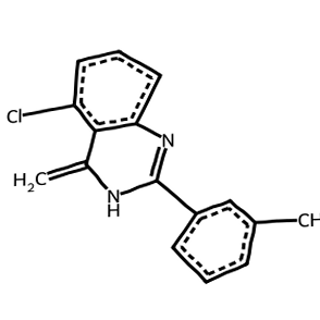 C=C1NC(c2cccc(C)c2)=Nc2cccc(Cl)c21